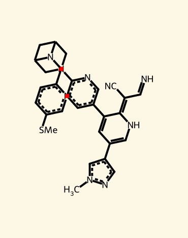 CSc1ccc(CN2C3CC2CN(c2ccc(C4=CC(c5cnn(C)c5)=CN/C4=C(/C#N)C=N)cn2)C3)nc1